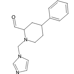 O=CC1CC(c2ccccc2)CCN1Cn1ccnc1